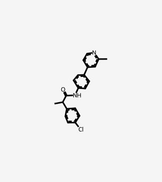 Cc1cc(-c2ccc(NC(=O)C(C)c3ccc(Cl)cc3)cc2)ccn1